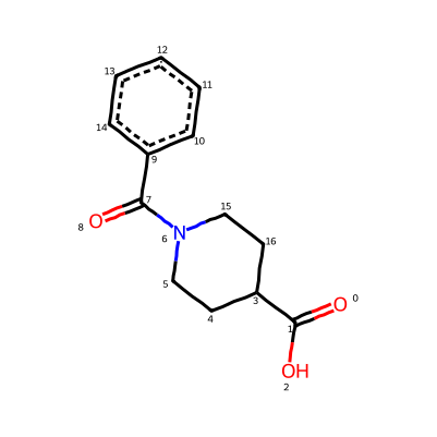 O=C(O)C1CCN(C(=O)c2cc[c]cc2)CC1